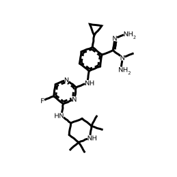 CN(N)/C(=N\N)c1cc(Nc2ncc(F)c(NC3CC(C)(C)NC(C)(C)C3)n2)ccc1C1CC1